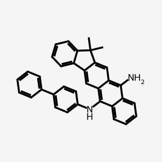 CC1(C)c2ccccc2-c2cc3c(Nc4ccc(-c5ccccc5)cc4)c4ccccc4c(N)c3cc21